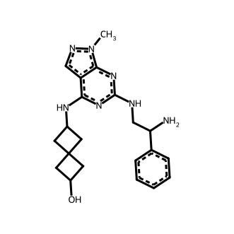 Cn1ncc2c(NC3CC4(CC(O)C4)C3)nc(NCC(N)c3ccccc3)nc21